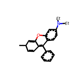 CCN(CC)c1ccc2c(c1)OC1=CC(C)C=CC1=C2c1ccccc1